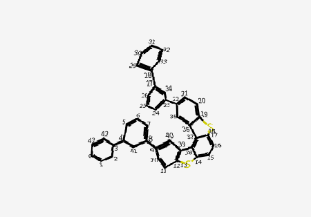 C1=CCC(C2C=CC=C(c3ccc4sc5ccc6sc7ccc(-c8cccc(-c9ccccc9)c8)cc7c6c5c4c3)C2)C=C1